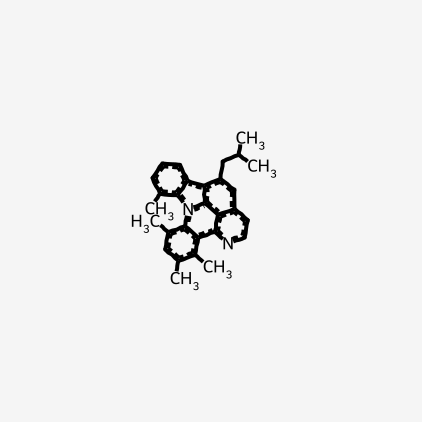 Cc1cc(C)c2c(c1C)c1nccc3cc(CC(C)C)c4c5cccc(C)c5n2c4c31